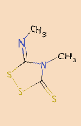 C/N=c1/ssc(=S)n1C